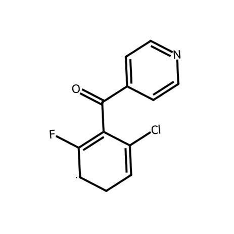 O=C(C1=C(F)[CH]CC=C1Cl)c1ccncc1